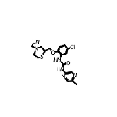 Cc1cnc(NC(=O)Nc2cc(Cl)ccc2OCC2CN(CC#N)CCS2)cn1